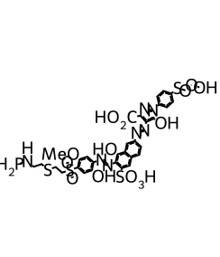 COc1cc(/N=N/c2c(S(=O)(=O)O)cc3ccc(/N=N/c4c(C(=O)O)nn(-c5ccc(SOOO)cc5)c4O)cc3c2O)c(O)cc1S(=O)(=O)CCSCCNP